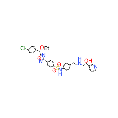 CCOC(c1ccc(Cl)cc1)c1nc(-c2ccc(S(=O)(=O)Nc3ccc(CCNCC(O)c4cccnc4)cc3)cc2)no1